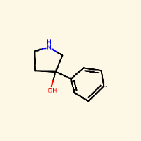 OC1(c2cc[c]cc2)CCNC1